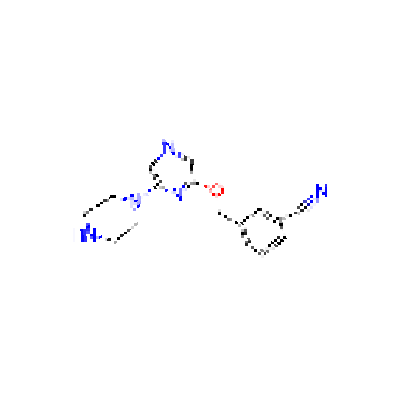 N#Cc1cccc(COc2cncc(N3CCNCC3)n2)c1